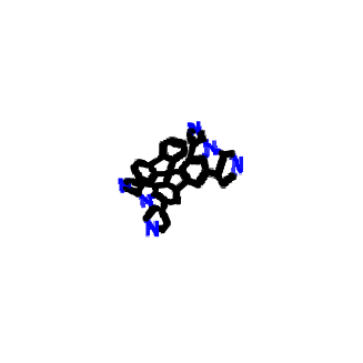 c1ccc2c(c1)-c1ccccc1C21c2c(cc3c4ccncc4n4c5cnccc5c2c34)-c2cc3c4ccncc4n4c5cnccc5c(c21)c34